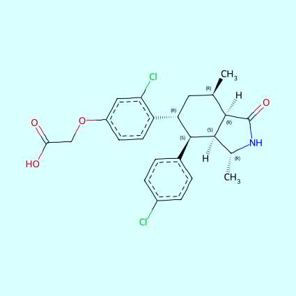 C[C@@H]1C[C@@H](c2ccc(OCC(=O)O)cc2Cl)[C@H](c2ccc(Cl)cc2)[C@H]2[C@@H]1C(=O)N[C@@H]2C